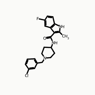 Cc1[nH]c2ccc(F)cc2c1C(=O)NC1CCN(Cc2cccc(Cl)c2)CC1